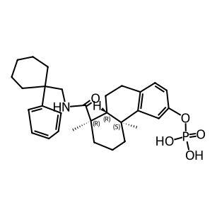 C[C@@]1(C(=O)NCC2(c3ccccc3)CCCCC2)CCC[C@]2(C)c3cc(OP(=O)(O)O)ccc3CC[C@@H]12